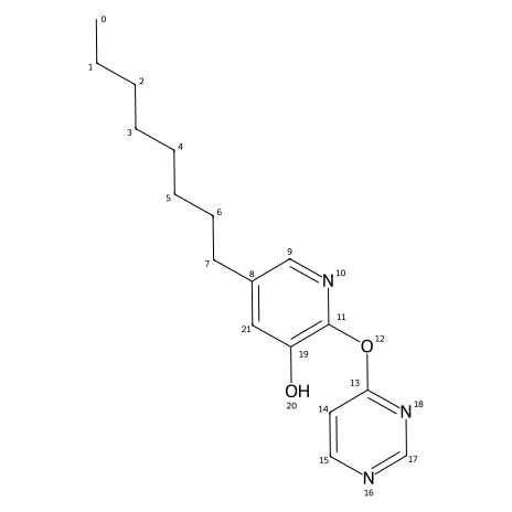 CCCCCCCCc1cnc(Oc2ccncn2)c(O)c1